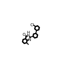 Cc1cccc2c(=O)[nH]c(-c3cccc(-c4cccc(Cl)c4)c3)nc12